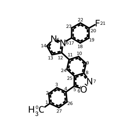 Cc1ccc(-c2onc3ccc(-c4ccnn4-c4ccc(F)cc4)cc23)cc1